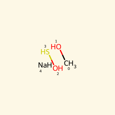 CO.OS.[NaH]